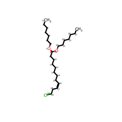 CCCCCCCOC(CCCCCCC/C=C\CCCl)OCCCCCCC